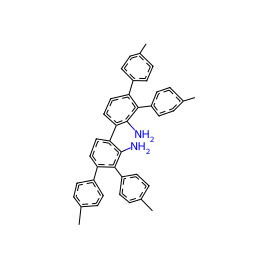 Cc1ccc(-c2ccc(-c3ccc(-c4ccc(C)cc4)c(-c4ccc(C)cc4)c3N)c(N)c2-c2ccc(C)cc2)cc1